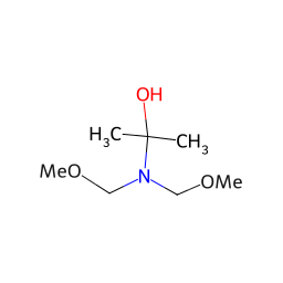 COCN(COC)C(C)(C)O